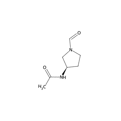 CC(=O)N[C@@H]1CCN(C=O)C1